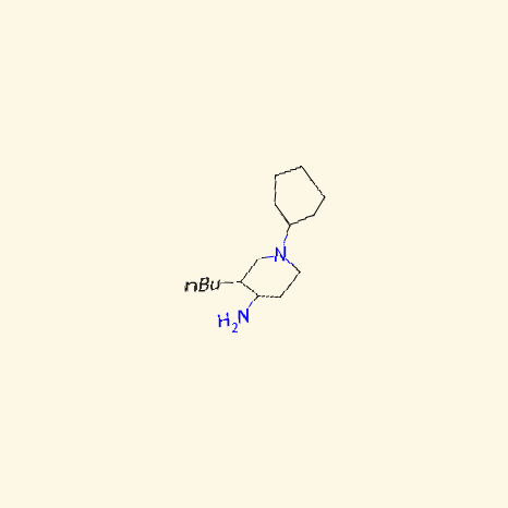 CCCCC1CN(C2CCCCC2)CCC1N